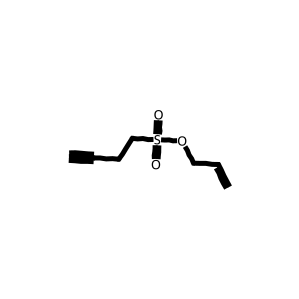 C#CCCS(=O)(=O)OCC=C